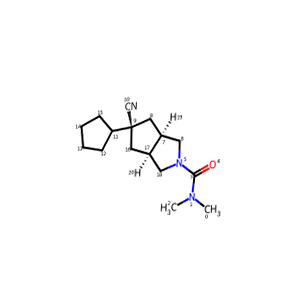 CN(C)C(=O)N1C[C@@H]2C[C@@](C#N)(C3CCCC3)C[C@@H]2C1